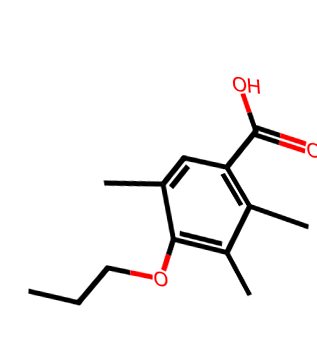 CCCOc1c(C)cc(C(=O)O)c(C)c1C